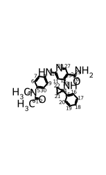 CC(=O)N(C)c1ccc(Nc2cc(NC3(c4ccccc4)CC3)c(C(N)=O)cn2)cc1